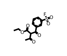 CCOC(=O)C(C(C)=O)C(=O)c1cccc(S(=O)(=O)F)c1